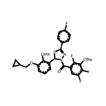 COc1c(OCC2CC2)cccc1C1SC(c2ccc(F)cc2)=NN1C(=O)c1cc(F)c(F)c(OC)c1F